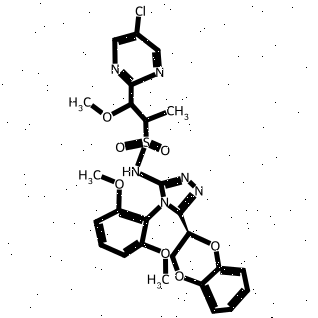 COc1cccc(OC)c1-n1c(NS(=O)(=O)C(C)C(OC)c2ncc(Cl)cn2)nnc1[C@@H]1COc2ccccc2O1